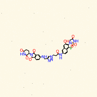 O=C1CCC(N2C(=O)c3ccc(NCc4cn(CCC(=O)Nc5ccc6c(F)c(N7CC(=O)NS7(=O)=O)c(O)cc6c5)nn4)cc3C2=O)C(=O)N1